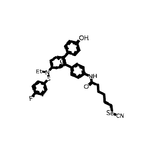 CCN(Sc1ccc(F)cc1)C1CC2OC1C(c1ccc(NC(=O)CCCCC[Se]C#N)cc1)=C2c1ccc(O)cc1